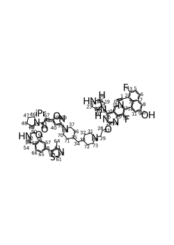 C#Cc1c(F)ccc2cc(O)cc(-c3ncc4c(N5C[C@@H]6C[C@H]5CN6)nc(OCCN5CCC(CC6CCN(c7cc([C@H](C(=O)N8CCC[C@H]8C(=O)N[C@@H](C)c8ccc(-c9scnc9C)cc8)C(C)C)on7)CC6)CC5)nc4c3F)c12